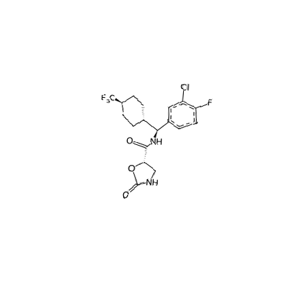 O=C1NC[C@@H](C(=O)N[C@H](c2ccc(F)c(Cl)c2)[C@H]2CC[C@H](C(F)(F)F)CC2)O1